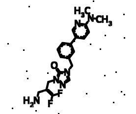 CN(C)c1ccc(-c2cccc(Cn3cnn(CC(CN)=C(F)F)c3=O)c2)cn1